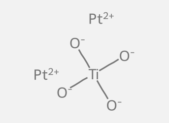 [O-][Ti]([O-])([O-])[O-].[Pt+2].[Pt+2]